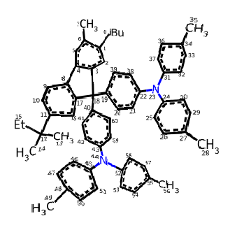 CCC(C)c1cc2c(cc1C)-c1ccc(C(C)(C)CC)cc1C2(c1ccc(N(c2ccc(C)cc2)c2ccc(C)cc2)cc1)c1ccc(N(c2ccc(C)cc2)c2ccc(C)cc2)cc1